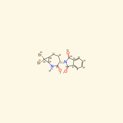 CN1C(=O)[C@@H](N2C(=O)c3ccccc3C2=O)CCC2C1C2(Br)Br